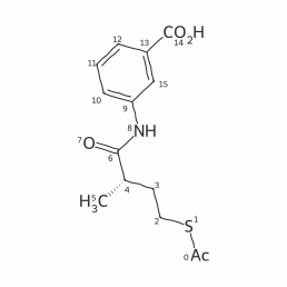 CC(=O)SCC[C@H](C)C(=O)Nc1cccc(C(=O)O)c1